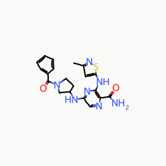 Cc1cc(Nc2nc(NC3CCN(C(=O)c4ccccc4)C3)cnc2C(N)=O)sn1